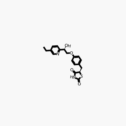 CCc1ccc([C@H](O)COc2ccc(C[C@H]3SC(=O)NC3=O)cc2)nc1